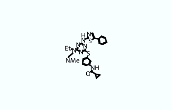 CCN(CCNC)c1nc(Nc2ncc(-c3ccccc3)s2)nc(Sc2cccc(NC(=O)C3CC3)c2)n1